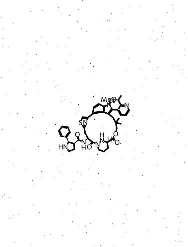 CCn1c(-c2cccnc2[C@H](C)OC)c2c3cc(ccc31)-c1csc(n1)C[C@H](NC(=O)[C@H]1CCN[C@H]1c1ccccc1)C(=O)N1CCC[C@H](N1)C(=O)OCC(C)(C)C2